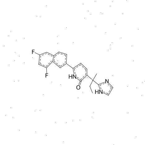 CCC(C)(c1ncc[nH]1)c1ccc(-c2ccc3cc(F)cc(F)c3c2)[nH]c1=O